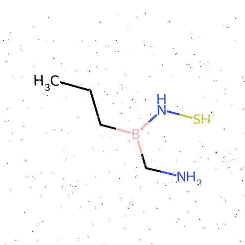 CCCB(CN)NS